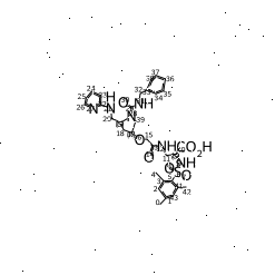 Cc1cc(C)c(S(=O)(=O)N[C@@H](CNC(=O)CO[C@@H]2C[C@@H](CNc3ccccn3)N(C(=O)NCc3ccccc3)C2)C(=O)O)c(C)c1